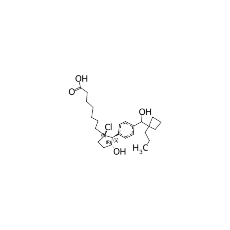 CCCC1(C(O)c2ccc([C@H]3[C@H](O)CC[C@]3(Cl)CCCCCCC(=O)O)cc2)CCC1